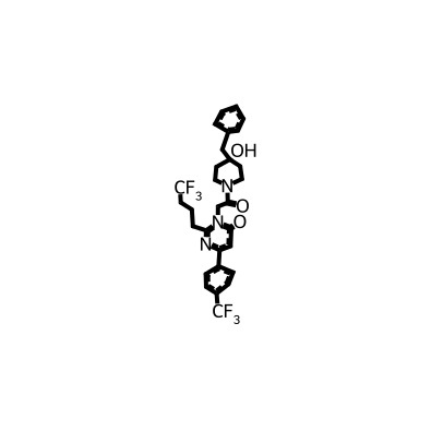 O=C(Cn1c(CCCC(F)(F)F)nc(-c2ccc(C(F)(F)F)cc2)cc1=O)N1CCC(O)(Cc2ccccc2)CC1